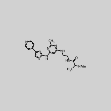 CNC(C)C(=O)NCCNc1cc(Nc2ncc(-c3ccncc3)s2)nc(C)n1